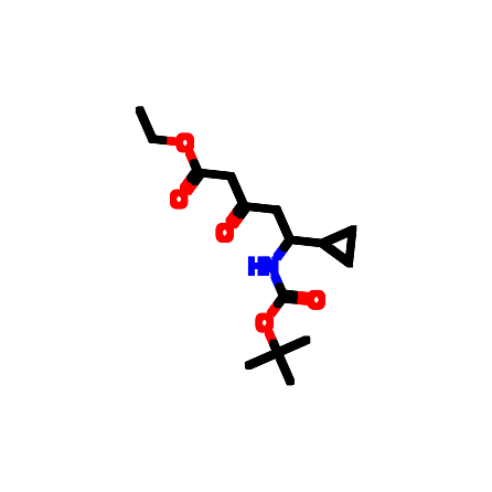 CCOC(=O)CC(=O)CC(NC(=O)OC(C)(C)C)C1CC1